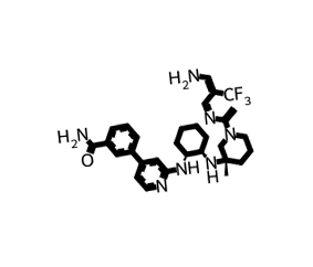 C=C(/N=C\C(=C/N)C(F)(F)F)N1CCC[C@](C)(N[C@@H]2CCCC[C@H]2Nc2cc(-c3cccc(C(N)=O)c3)ccn2)C1